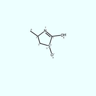 CC1C[S+]([O-])C(O)=N1